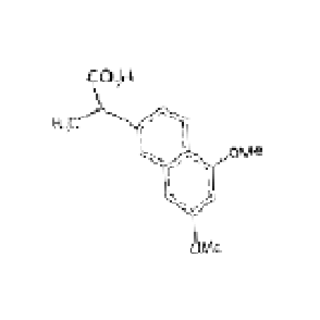 COc1cc(OC)c2ccc(C(C)C(=O)O)cc2c1